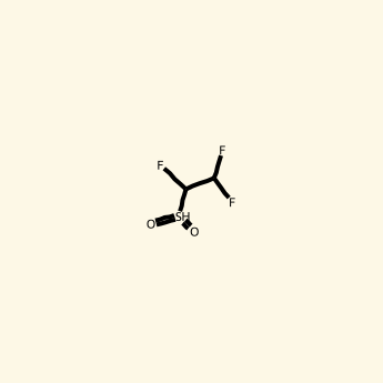 O=[SH](=O)C(F)C(F)F